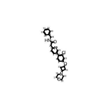 O=C(Cc1ccc(-c2ccc(OC3CC(N4CCOCC4)C3)cc2Cl)cn1)NCc1ccccc1